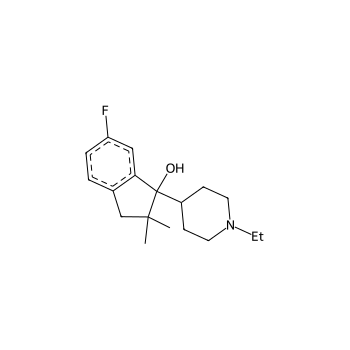 CCN1CCC(C2(O)c3cc(F)ccc3CC2(C)C)CC1